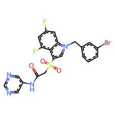 O=C(CS(=O)(=O)c1cn(Cc2cccc(Br)c2)c2cc(F)cc(F)c12)Nc1cncnc1